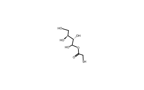 O=C(CS)OC(O)[C@@H](O)[C@@H](O)CO